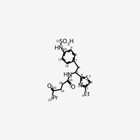 CCc1csc(C(Cc2[c]cc(NS(=O)(=O)O)cc2)NC(=O)CCC(=O)C(C)C)n1